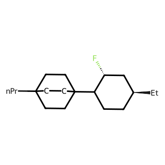 CCCC12CCC(C3CC[C@H](CC)C[C@H]3F)(CC1)CC2